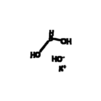 OBO.[K+].[OH-]